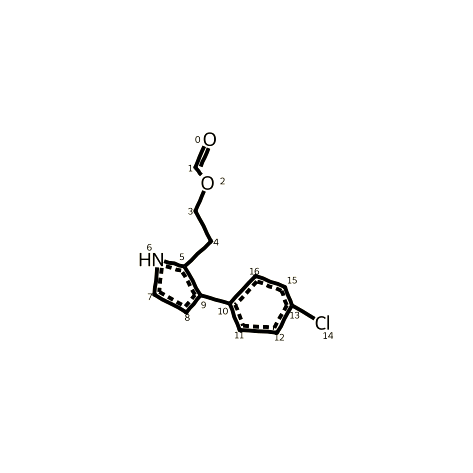 O=COCCc1[nH]ccc1-c1ccc(Cl)cc1